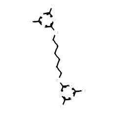 Nc1nc(N)nc(NCCCCCCNc2nc(N)nc(N)n2)n1